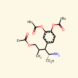 CCCCC(=O)Oc1ccc(C(C(C)COC(=O)CC)[C@H](N)C(=O)O)cc1OC(=O)CCCC